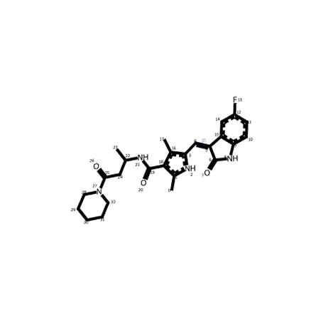 Cc1[nH]c(/C=C2\C(=O)Nc3ccc(F)cc32)c(C)c1C(=O)NC(C)CC(=O)N1CCCCC1